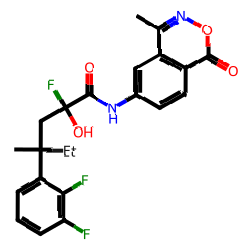 CCC(C)(CC(O)(F)C(=O)Nc1ccc2c(=O)onc(C)c2c1)c1cccc(F)c1F